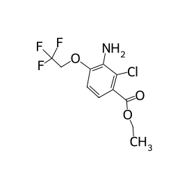 CCOC(=O)c1ccc(OCC(F)(F)F)c(N)c1Cl